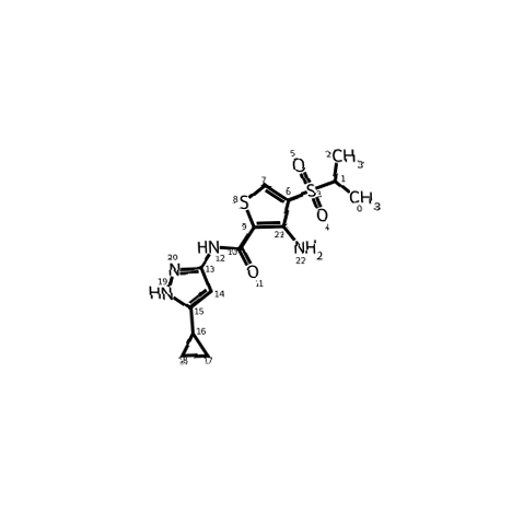 CC(C)S(=O)(=O)c1csc(C(=O)Nc2cc(C3CC3)[nH]n2)c1N